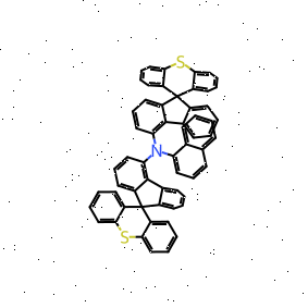 c1ccc2c(c1)Sc1ccccc1C21c2ccccc2-c2c(N(c3cccc4c3-c3ccccc3C43c4ccccc4Sc4ccccc43)c3cccc4ccccc34)cccc21